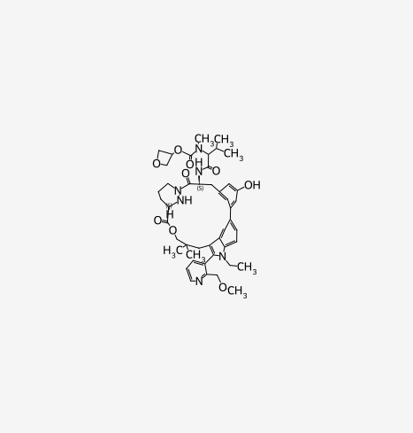 CCn1c(-c2cccnc2COC)c2c3cc(ccc31)-c1cc(O)cc(c1)C[C@H](NC(=O)C(C(C)C)N(C)C(=O)OC1COC1)C(=O)N1CCC[C@H](N1)C(=O)OCC(C)(C)C2